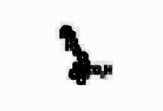 O=C(N[C@H](Cc1ccc(OCCC[C@@H]2Cc3cccnc3N2)cc1)C(=O)O)c1c(Cl)cccc1Cl